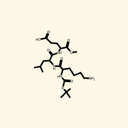 COC(=O)C(CCC(=O)O)NC(=O)C(CC(C)C)NC(=O)C(CCCCN)NC(=O)OC(C)(C)C